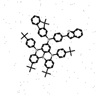 CC(C)(C)c1ccc(N2c3ccc(C(C)(C)C)cc3B3c4cc(C(C)(C)C)ccc4N(c4ccc(C(C)(C)C)cc4)c4cc(N(c5ccc(-c6cc7ccccc7o6)cc5)c5ccc6c(c5)C(C)(C)c5ccccc5-6)cc2c43)cc1